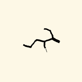 C=C(CC)C(I)CCC